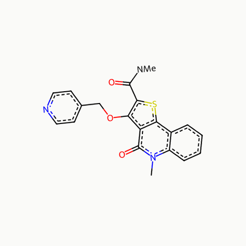 CNC(=O)c1sc2c(c1OCc1ccncc1)c(=O)n(C)c1ccccc21